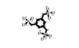 CC[N+](CC)(CC)Cc1cc(C[N+](CC)(CC)CC)cc(C[N+](CC)(CC)CC)c1